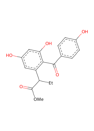 CCC(C(=O)OC)c1cc(O)cc(O)c1C(=O)c1ccc(O)cc1